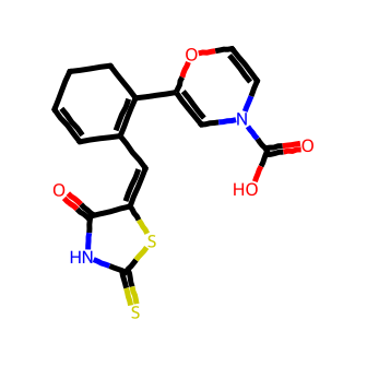 O=C1NC(=S)SC1=CC1=C(C2=CN(C(=O)O)C=CO2)CCC=C1